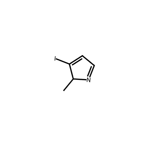 CC1N=CC=C1I